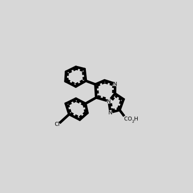 O=C(O)c1cc2ncc(-c3ccccc3)c(-c3ccc(Cl)cc3)n2n1